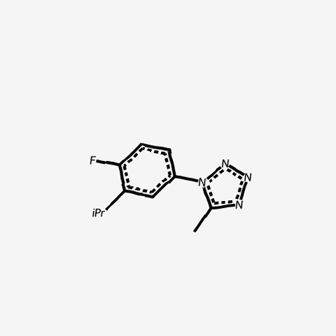 Cc1nnnn1-c1ccc(F)c(C(C)C)c1